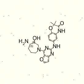 CC1(C)Oc2ccc(Nc3nc(N4CCC[C@H](N)[C@@H](O)C4)c4occc4n3)cc2NC1=O